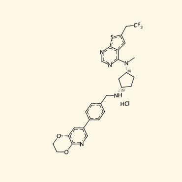 CN(c1ncnc2sc(CC(F)(F)F)cc12)[C@@H]1CC[C@H](NCc2ccc(-c3cnc4c(c3)OCCO4)cc2)C1.Cl